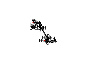 Cc1ncsc1-c1ccc(CNC(=O)[C@@H]2C[C@@H](O)CN2C(=O)[C@@H](NC(=O)CCCCCCCCCNC(=O)c2ccc(F)c(-c3ccc(N4C[C@@H](C)N(C)[C@@H](C)C4)c(NC(=O)c4c[nH]c(=O)cc4C(F)(F)F)c3)c2)C(C)(C)C)cc1